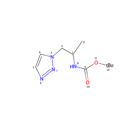 CC(Cn1ccnn1)NC(=O)OC(C)(C)C